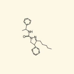 CCCCCC1=NN(C(=O)NC(C)c2ccccc2)CC1c1ccccc1